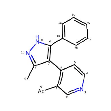 CC(=O)c1cnccc1-c1c(C)n[nH]c1-c1ccccc1